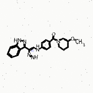 COC1CCCN(C(=O)c2ccc(N/C=C(\N=N)c3n[nH]c4ccccc34)cc2)C1